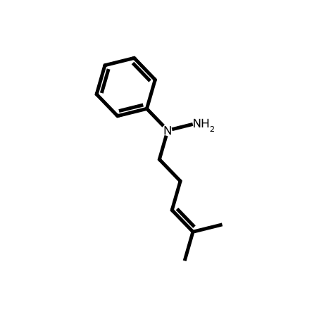 CC(C)=CCCN(N)c1ccccc1